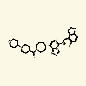 O=C(C1CCN(C2CCOCC2)CC1)N1CCC[C@@H](c2cnc(NCc3c(F)ccc4c3CCO4)n3cnnc23)CC1